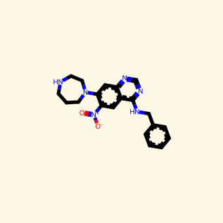 O=[N+]([O-])c1cc2c(NCc3ccccc3)ncnc2cc1N1CCCNCC1